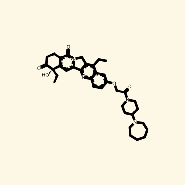 CCc1c2c(nc3ccc(OCC(=O)N4CCC(N5CCCCCC5)CC4)cc13)-c1cc3c(c(=O)n1C2)CCC(=O)[C@]3(O)CC